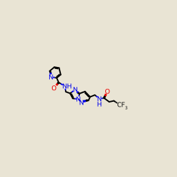 O=C(CCC(F)(F)F)NCc1cnn2cc(CNC(=O)c3ccccn3)nc2c1